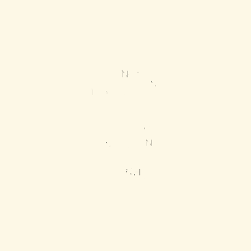 Nc1noc2c(-c3cncnc3O)ccnc12